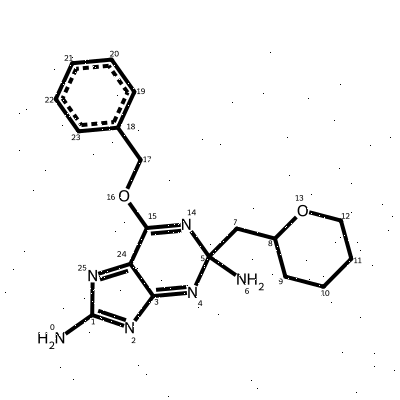 NC1=NC2=NC(N)(CC3CCCCO3)N=C(OCc3ccccc3)C2=N1